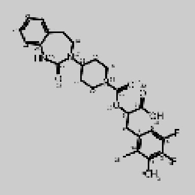 Cc1c(F)c(F)cc(CC(OC(=O)N2CCC(N3CCc4ccccc4NC3=O)CC2)C(=O)O)c1F